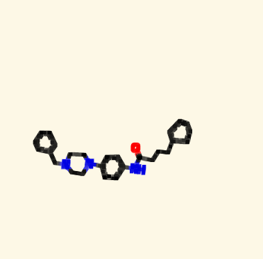 O=C(CCCc1ccccc1)Nc1ccc(N2CCN(Cc3ccccc3)CC2)cc1